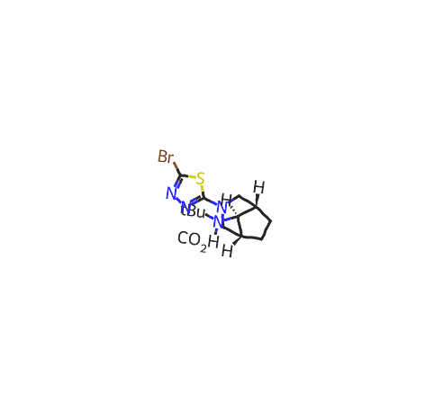 CC(C)(C)N(C(=O)O)[C@@H]1[C@@H]2CC[C@H]1CN(c1nnc(Br)s1)C2